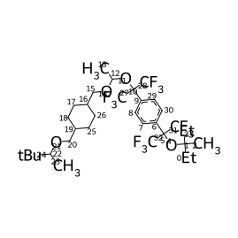 CCC(C)(CC)OC(c1ccc(C(OC(C)OCC2CCC(COC(C)C(C)(C)C)CC2)(C(F)(F)F)C(F)(F)F)cc1)(C(F)(F)F)C(F)(F)F